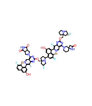 O=C1CC2(CCCN(c3nc(OC[C@@]45CCCN4C[C@H](F)C5)nc4c(F)c(-c5cc(O)cc6c(C7CC[C@@]8(COc9nc(N%10CC%11C(=O)NC(=O)C%11C%10)c%10cnc(-c%11cc(O)cc%12ccc(F)c(Br)c%11%12)c(F)c%10n9)C[C@@H](F)CN78)cc(F)c(Br)c56)ncc34)C2)N1